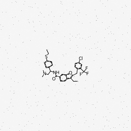 CCSc1ccc(C(CN(C)C)NC(=O)c2ccc3c(CC)c(Cc4ccc(Cl)cc4C(F)(F)F)oc3c2)cc1